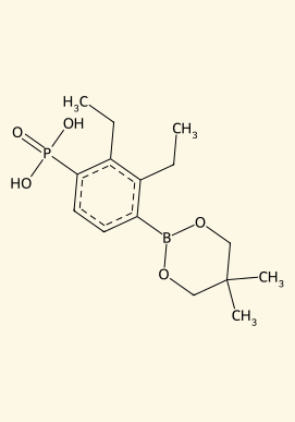 CCc1c(B2OCC(C)(C)CO2)ccc(P(=O)(O)O)c1CC